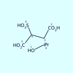 CC(C)O.O=C(O)CC(C(=O)O)S(=O)(=O)O